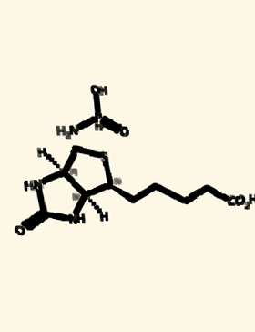 N[PH](=O)O.O=C(O)CCCC[C@@H]1SC[C@@H]2NC(=O)N[C@@H]21